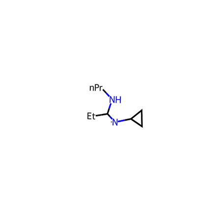 CCCNC(CC)[N]C1CC1